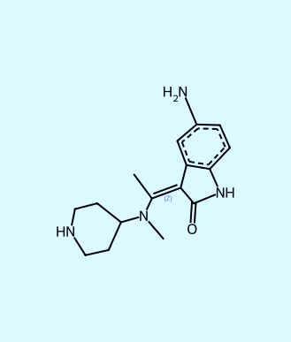 C/C(=C1/C(=O)Nc2ccc(N)cc21)N(C)C1CCNCC1